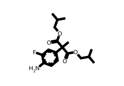 CC(C)COC(=O)C(C)(C(=O)OCC(C)C)c1ccc(N)c(F)c1